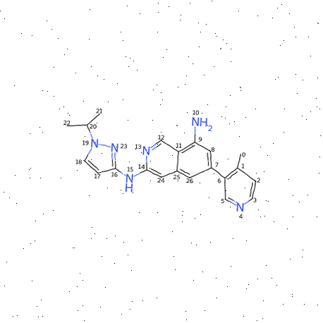 Cc1ccncc1-c1cc(N)c2cnc(Nc3ccn(C(C)C)n3)cc2c1